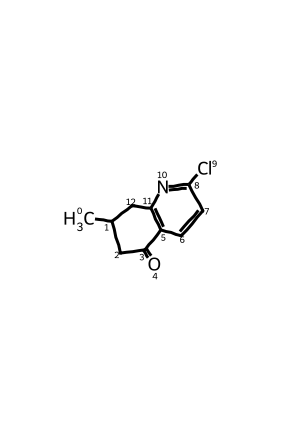 CC1CC(=O)c2ccc(Cl)nc2C1